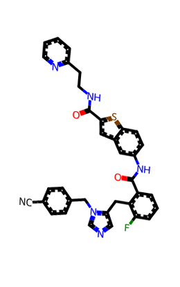 N#Cc1ccc(Cn2cncc2Cc2c(F)cccc2C(=O)Nc2ccc3sc(C(=O)NCCc4ccccn4)cc3c2)cc1